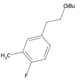 Cc1cc(CCOCC(C)C)ccc1F